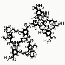 CCn1nc(C)cc1C(=O)/N=c1/[nH]c2cc(C(N)=O)cc(OC)c2n1C/C=C/Cn1/c(=N\C(=O)c2cc(C)nn2CC)[nH]c2cc(C(N)=O)cc(OCCCO)c21.CCn1nc(C)cc1C(=O)Nc1nc2cc(C(N)=O)cc(OCCCN3CCOCC3)c2n1C/C=C/Cn1c(NC(=O)c2cc(C)nn2CC)nc2cc(C(N)=O)cc(OCCCN3CCOCC3)c21